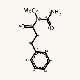 CON(C(N)=O)C(=O)[CH]Cc1ccccc1